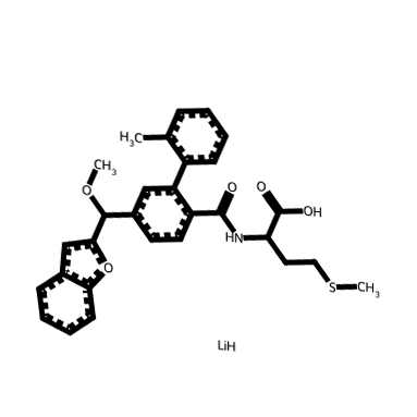 COC(c1ccc(C(=O)NC(CCSC)C(=O)O)c(-c2ccccc2C)c1)c1cc2ccccc2o1.[LiH]